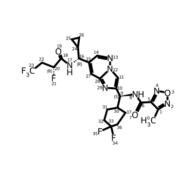 Cc1nonc1C(=O)N[C@H](c1cn2ncc([C@H](NC(=O)[C@H](F)CC(F)(F)F)C3CC3)cc2n1)C1CCC(F)(F)CC1